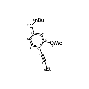 CCC#Cc1ccc(OCCCC)cc1OC